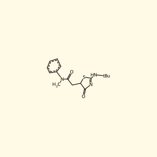 CN(C(=O)CC1SC(NC(C)(C)C)=NC1=O)c1ccccc1